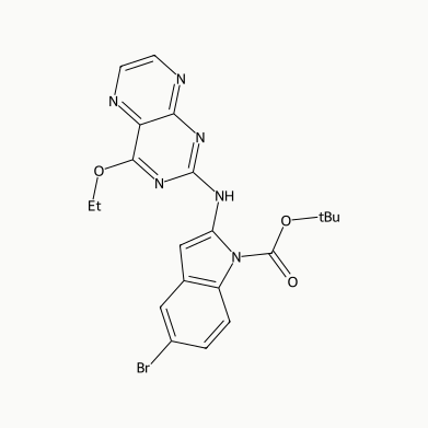 CCOc1nc(Nc2cc3cc(Br)ccc3n2C(=O)OC(C)(C)C)nc2nccnc12